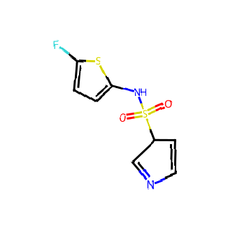 O=S(=O)(Nc1ccc(F)s1)C1C=CN=C1